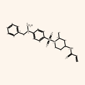 C=CC(=O)NC1CCN(S(=O)(=O)c2ccc(N(Cc3ccccc3)C(=O)O)cc2)C(C)C1